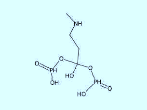 CNCCC(O)(O[PH](=O)O)O[PH](=O)O